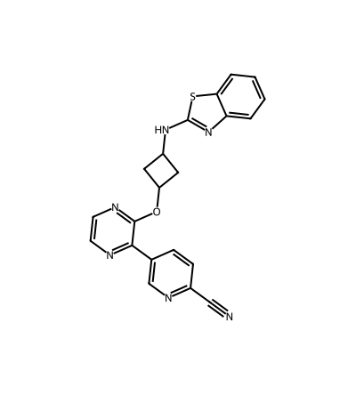 N#Cc1ccc(-c2nccnc2OC2CC(Nc3nc4ccccc4s3)C2)cn1